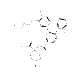 COC(=O)[C@]1(NC(=O)c2ccc(-c3ccccc3C)c(-c3ccc(Cl)c(OCCCN(C)C)c3)n2)CC[C@@H](O)CC1